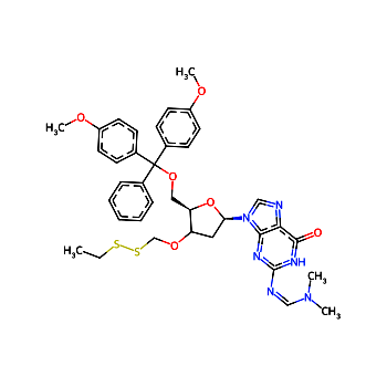 CCSSCOC1C[C@H](n2cnc3c(=O)[nH]c(/N=C\N(C)C)nc32)O[C@@H]1COC(c1ccccc1)(c1ccc(OC)cc1)c1ccc(OC)cc1